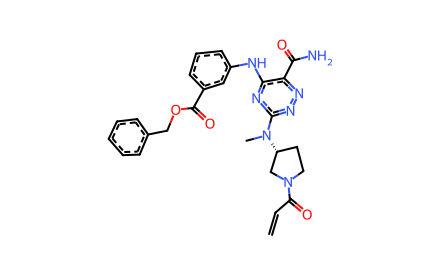 C=CC(=O)N1CC[C@@H](N(C)c2nnc(C(N)=O)c(Nc3cccc(C(=O)OCc4ccccc4)c3)n2)C1